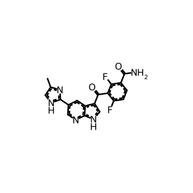 Cc1c[nH]c(-c2cnc3[nH]cc(C(=O)c4c(F)ccc(C(N)=O)c4F)c3c2)n1